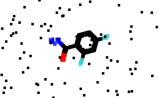 NC(=O)c1ccc(F)cc1F